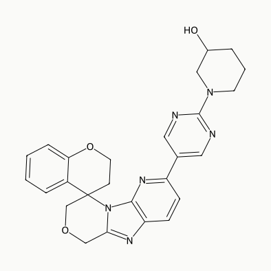 OC1CCCN(c2ncc(-c3ccc4nc5n(c4n3)C3(CCOc4ccccc43)COC5)cn2)C1